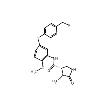 COc1ccc(Oc2ccc(CF)cc2)cc1NC(=O)[C@@H]1CNC(=O)N1C